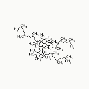 Cc1c(C)c2c(c(-c3c(C)c(O)c(-c4c(C)c(O)c(C)c5c4OC(C)(CCC[C@H](C)CCC[C@H](C)CCCC(C)C)C=C5)c4c3O[C@@](C)(CCC[C@H](C)CCC[C@H](C)CCCC(C)C)C=C4)c1O)C=C[C@@](C)(CCC[C@H](C)CCC[C@H](C)CCCC(C)C)O2